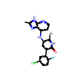 Cc1nc2c(Nc3cc(-c4cc(Cl)ccc4F)c(=O)[nH]c3C(C)C)ccnc2[nH]1